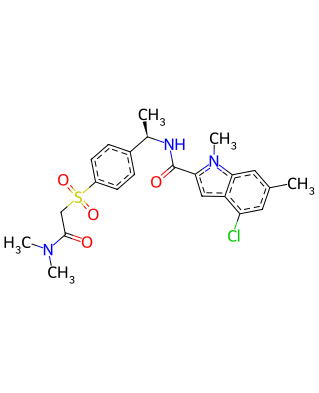 Cc1cc(Cl)c2cc(C(=O)N[C@H](C)c3ccc(S(=O)(=O)CC(=O)N(C)C)cc3)n(C)c2c1